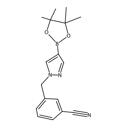 CC1(C)OB(c2cnn(Cc3cccc(C#N)c3)c2)OC1(C)C